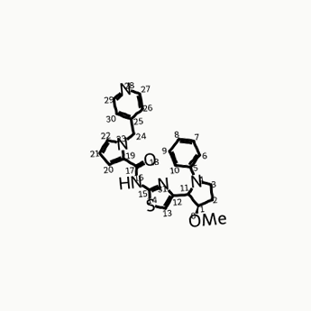 CO[C@@H]1CCN(c2ccccc2)C1c1csc(NC(=O)c2cccn2Cc2ccncc2)n1